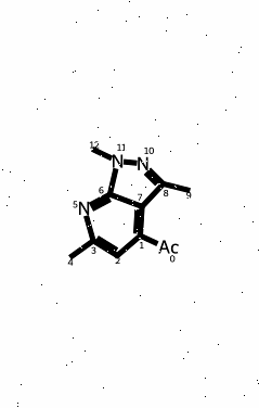 CC(=O)c1cc(C)nc2c1c(C)nn2C